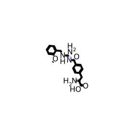 COc1ccccc1CN/C(N)=N/C(=O)c1ccc(C[C@H](N)C(=O)O)cc1